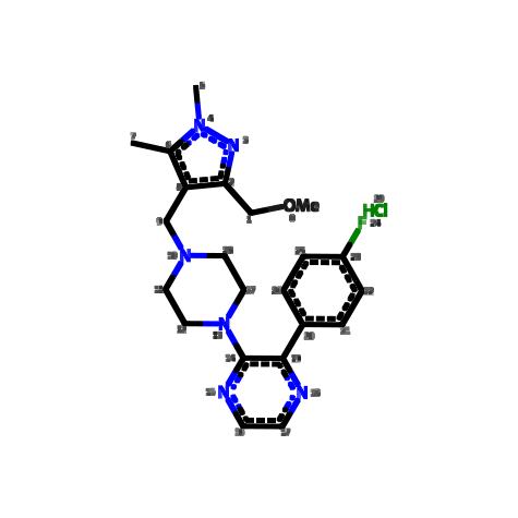 COCc1nn(C)c(C)c1CN1CCN(c2nccnc2-c2ccc(F)cc2)CC1.Cl